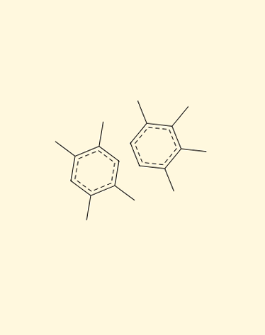 Cc1cc(C)c(C)cc1C.Cc1ccc(C)c(C)c1C